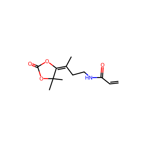 C=CC(=O)NCCC(C)=C1OC(=O)OC1(C)C